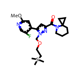 COc1cc(-c2cc(C(=O)N3CCCCC34CC4)nn2COCC[Si](C)(C)C)c(F)cn1